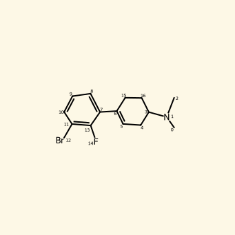 CN(C)C1CC=C(c2cccc(Br)c2F)CC1